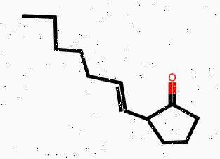 CCCCCC=CC1CCCC1=O